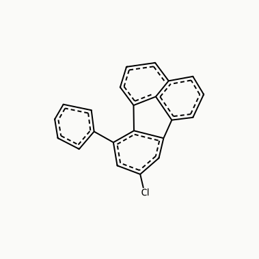 Clc1cc(-c2ccccc2)c2c(c1)-c1cccc3cccc-2c13